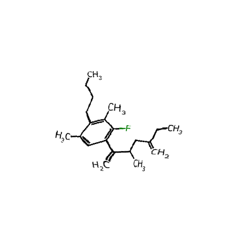 C=C(CC)CC(C)C(=C)c1cc(C)c(CCCC)c(C)c1F